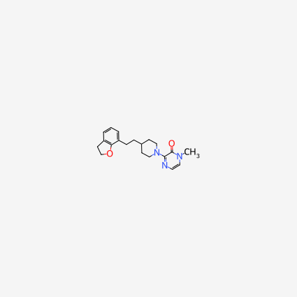 Cn1ccnc(N2CCC(CCc3cccc4c3OCC4)CC2)c1=O